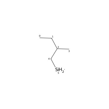 CCC(C)C[SiH2]